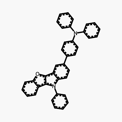 c1ccc(N(c2ccccc2)c2ccc(-c3ccc4c(c3)c3oc5ccccc5c3n4-c3ccccc3)cc2)cc1